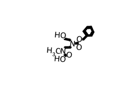 CN(CCN(CCO)C(=O)OCc1ccccc1)C(=O)O